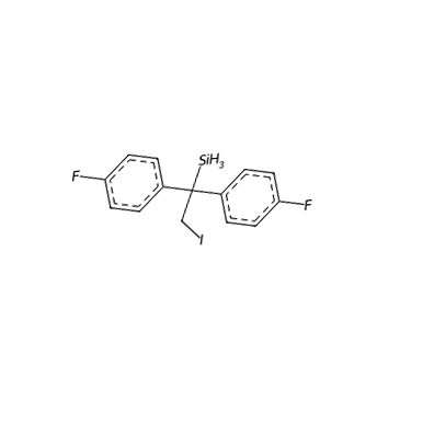 Fc1ccc(C([SiH3])(CI)c2ccc(F)cc2)cc1